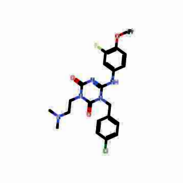 CC(C)Oc1ccc(Nc2nc(=O)n(CCN(C)C)c(=O)n2Cc2ccc(Cl)cc2)cc1F